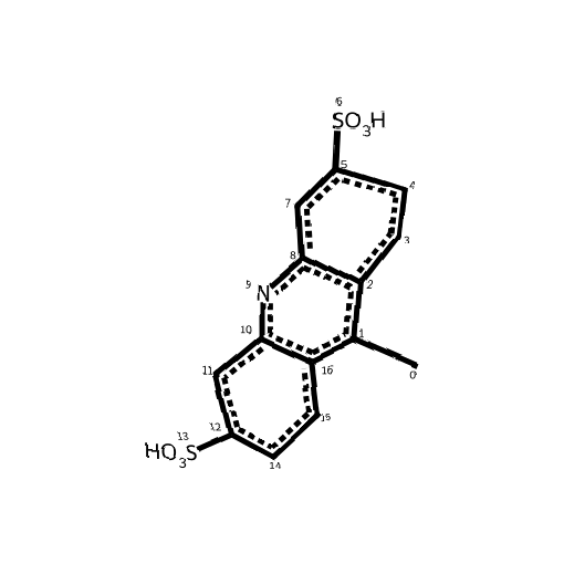 Cc1c2ccc(S(=O)(=O)O)cc2nc2cc(S(=O)(=O)O)ccc12